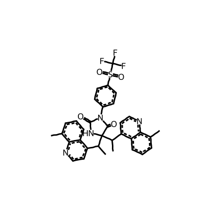 Cc1cccc2c(C(C)C3(C(C)c4ccnc5c(C)cccc45)NC(=O)N(c4ccc(S(=O)(=O)C(F)(F)F)cc4)C3=O)ccnc12